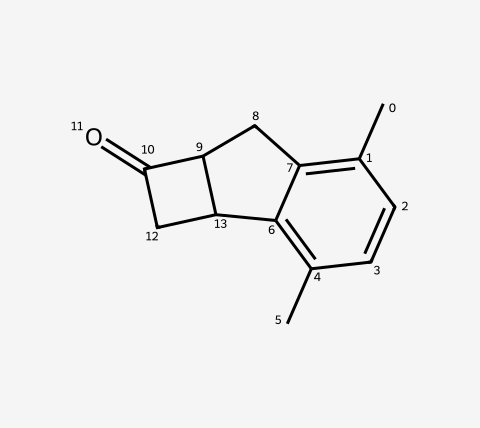 Cc1ccc(C)c2c1CC1C(=O)CC21